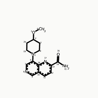 COC1CCN(c2cncc3ccc(C(N)=O)nc23)CC1